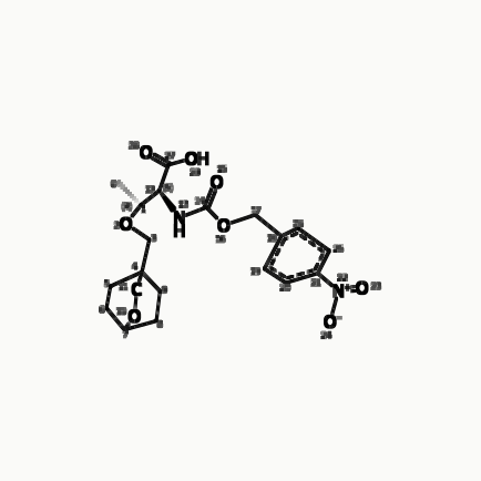 C[C@@H](OCC12CCC(CC1)OC2)[C@H](NC(=O)OCc1ccc([N+](=O)[O-])cc1)C(=O)O